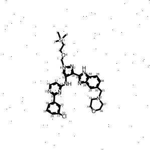 C[Si](C)(C)CCOCn1cc(Nc2ccnc(-c3cccc(Cl)c3)n2)c(-c2nc3cc(CN4CCOCC4)ccc3[nH]2)n1